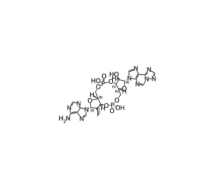 Nc1ncnc2c1ncn2[C@@H]1O[C@@H]2COP(=O)(O)O[C@H]3[C@@H](O)[C@H](n4cnc5c4ncn4ncnc54)O[C@@H]3COP(=O)(O)O[C@H]2[C@H]1F